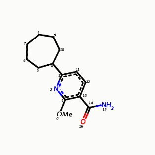 COc1nc(C2CCCCCC2)ccc1C(N)=O